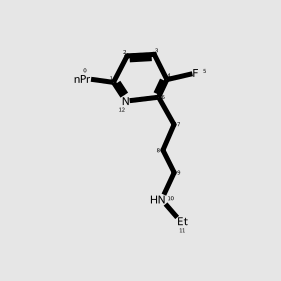 CCCc1ccc(F)c(CCCNCC)n1